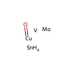 [Mo].[O]=[Cu].[SnH4].[V]